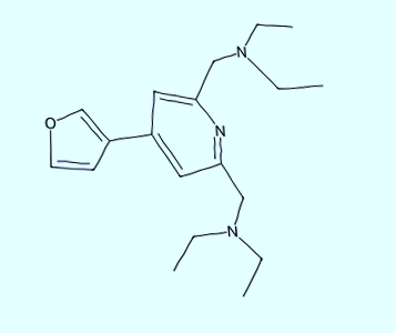 CCN(CC)Cc1cc(-c2ccoc2)cc(CN(CC)CC)n1